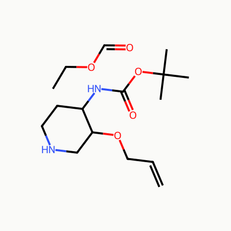 C=CCOC1CNCCC1NC(=O)OC(C)(C)C.CCOC=O